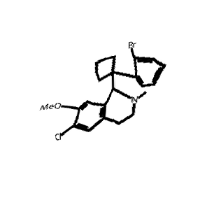 COc1cc2c(cc1Cl)CCN(C)C2C1(c2ccccc2Br)CCC1